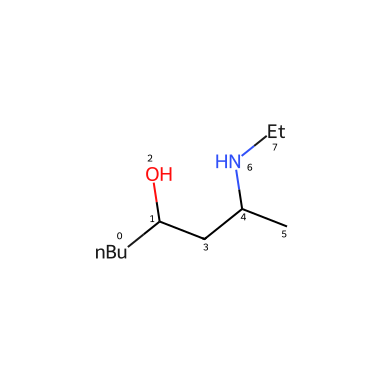 CCCCC(O)CC(C)NCC